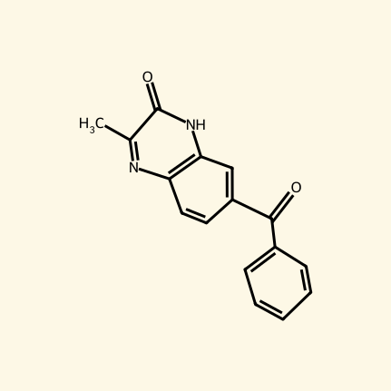 Cc1nc2ccc(C(=O)c3ccccc3)cc2[nH]c1=O